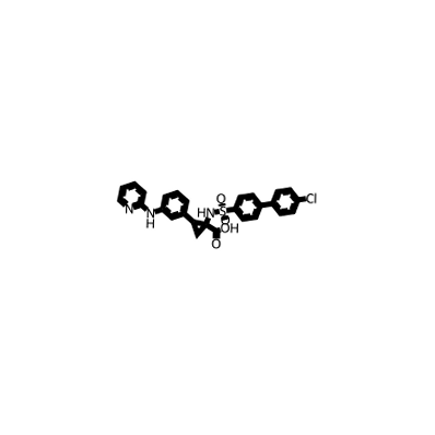 O=C(O)C1(NS(=O)(=O)c2ccc(-c3ccc(Cl)cc3)cc2)CC1c1cccc(Nc2ccccn2)c1